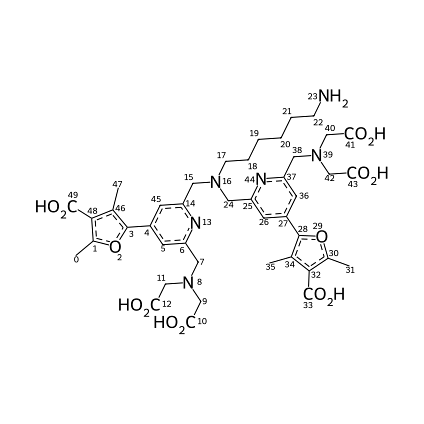 Cc1oc(-c2cc(CN(CC(=O)O)CC(=O)O)nc(CN(CCCCCCN)Cc3cc(-c4oc(C)c(C(=O)O)c4C)cc(CN(CC(=O)O)CC(=O)O)n3)c2)c(C)c1C(=O)O